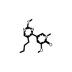 CCCCc1cnc(SC)nc1-c1cc(OC)c(=O)n(C)c1